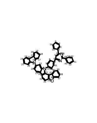 c1ccc(-c2cc(-c3ccc(-n4c5cc(-n6c7ccccc7c7ccccc76)ccc5c5ccc6oc7ccccc7c6c54)cc3)nc(-c3ccccc3)n2)cc1